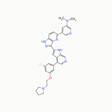 CN(C)c1cncc(-c2ccc3[nH]nc(-c4cc5c(-c6cc(F)cc(OCCN7CCCC7)c6)cncc5[nH]4)c3n2)c1